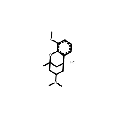 COc1cccc2c1OC1(C)CC2CC(N(C)C)C1.Cl